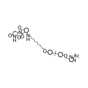 CC(=O)c1nccc(COc2ccc(C(C)(C)c3ccc(OCCCCCCCCCNc4cccc5c4C(=O)N(C4C=CC(=O)NC4=O)C5=O)cc3)cc2)n1